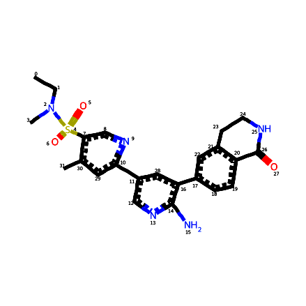 CCN(C)S(=O)(=O)c1cnc(-c2cnc(N)c(-c3ccc4c(c3)CCNC4=O)c2)cc1C